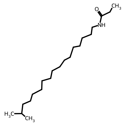 CCC(=O)NCCCCCCCCCCCCCCCC(C)C